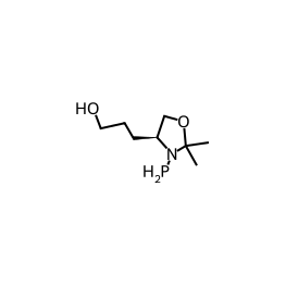 CC1(C)OC[C@H](CCCO)N1P